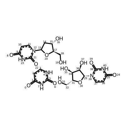 O=c1cc[nH]c(=O)[nH]1.O=c1ccn(C2C[C@H](O)[C@@H](CO)O2)c(=O)[nH]1.O=c1ccn([C@@H]2O[C@H](CO)[C@@H](O)[C@H]2O)c(=O)[nH]1